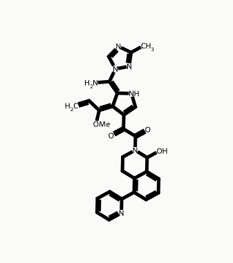 C=C/C(OC)=c1/c(C(=O)C(=O)N2CCc3c(-c4ccccn4)cccc3C2O)c[nH]/c1=C(/N)n1cnc(C)n1